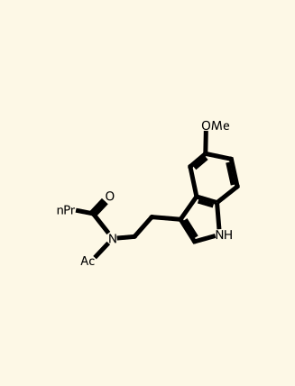 CCCC(=O)N(CCc1c[nH]c2ccc(OC)cc12)C(C)=O